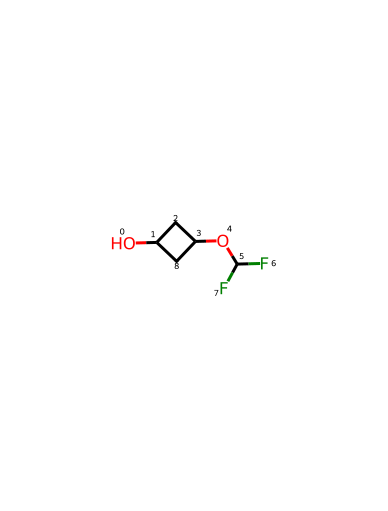 OC1CC(OC(F)F)C1